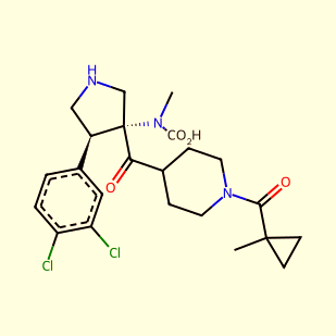 CN(C(=O)O)[C@@]1(C(=O)C2CCN(C(=O)C3(C)CC3)CC2)CNC[C@@H]1c1ccc(Cl)c(Cl)c1